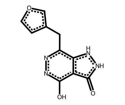 O=c1[nH][nH]c2c(Cc3ccoc3)nnc(O)c12